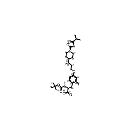 CC(C)c1noc(N2CCC([C@H](C)CCOc3ccc(CC(NC(=O)OC(C)(C)C)C(=O)O)c(F)c3)CC2)n1